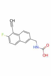 C#Cc1c(F)ccc2cc(CNC(=O)O)ccc12